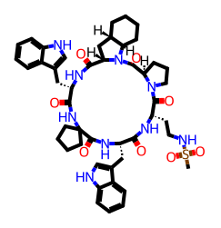 CS(=O)(=O)NCC[C@@H]1NC(=O)[C@H](Cc2c[nH]c3ccccc23)NC(=O)C2(CCCC2)NC(=O)[C@H](Cc2c[nH]c3ccccc23)NC(=O)[C@@H]2C[C@@H]3CCCC[C@@H]3N2C(=O)[C@H]2CCCN2C1=O